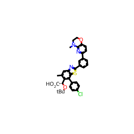 Cc1cc2nc(-c3cccc(-c4ccc5c(n4)N(C)CCO5)c3)sc2c(-c2ccc(Cl)cc2)c1[C@H](OC(C)(C)C)C(=O)O